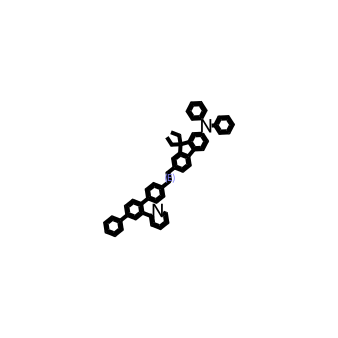 CCC1(CC)c2cc(/C=C/c3ccc(-c4ccc(-c5ccccc5)cc4-c4ccccn4)cc3)ccc2-c2ccc(N(c3ccccc3)c3ccccc3)cc21